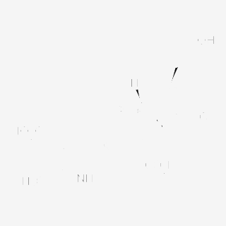 CC(=N)[C@@H](CSC1=C(C(=O)O)N2C(=O)[C@H](CCO)[C@H]2S1)C(=O)O